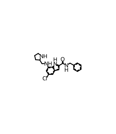 O=C(NCc1ccccc1)c1cc2cc(Cl)cc(NCC3CCCN3)c2[nH]1